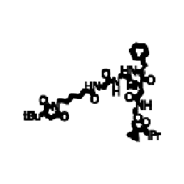 CC(C)C(=O)C1(COCNC(=O)CNC(=O)[C@H](Cc2ccccc2)NC(=O)CNC(=O)CNC(=O)CCCCCN2C(=O)CC(C(C)(C)C)C2=O)CC1